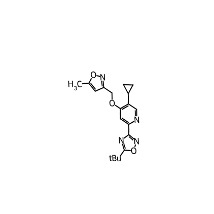 Cc1cc(COc2cc(-c3noc(C(C)(C)C)n3)ncc2C2CC2)no1